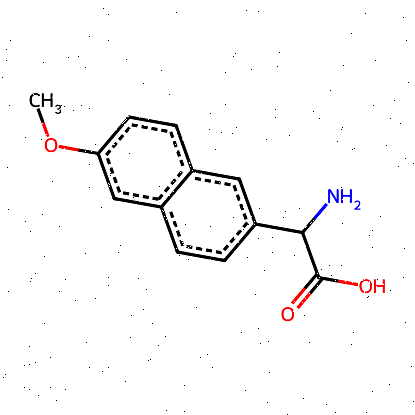 COc1ccc2cc(C(N)C(=O)O)ccc2c1